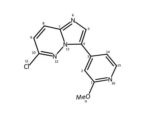 COc1cc(-c2cnc3ccc(Cl)nn23)ccn1